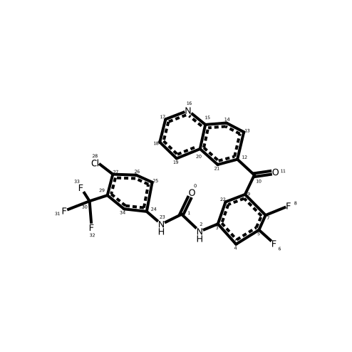 O=C(Nc1cc(F)c(F)c(C(=O)c2ccc3ncccc3c2)c1)Nc1ccc(Cl)c(C(F)(F)F)c1